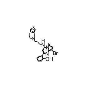 Oc1ccccc1-c1cc(NCCCN(CI)Cc2ccsc2)n2ncc(Br)c2n1